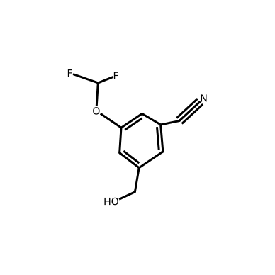 N#Cc1cc(CO)cc(OC(F)F)c1